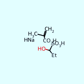 C=C(C)C(=O)O.CCC(O)S(=O)(=O)O.[NaH]